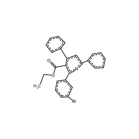 CCOC(=O)c1c(-c2ccccc2)cc(-c2ccccc2)nc1-c1cccc(Br)c1